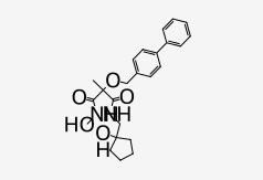 CC(OCc1ccc(-c2ccccc2)cc1)(C(=O)NO)C(=O)NCC1(O)CCCC1